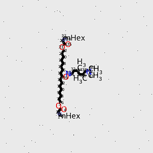 CCCCCC/C=C\C(=O)OCCCCCCCCC(CCCCCCCCOC(=O)/C=C\CCCCCC)O/N=C/CC(C)CC(C)CN(C)C